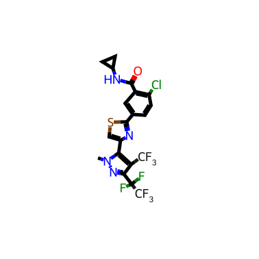 Cn1nc(C(F)(F)C(F)(F)F)c(C(F)(F)F)c1-c1csc(-c2ccc(Cl)c(C(=O)NC3CC3)c2)n1